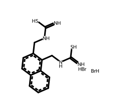 Br.Br.N=C(S)NCc1ccc2ccccc2c1CNC(=N)S